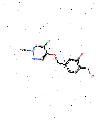 CC(C)(C)N1C=C(Cl)C(OCc2ccc(CBr)c(Br)c2)=CN1